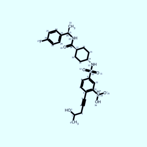 CC(O)CC#Cc1ccc(S(=O)(=O)N[C@H]2CC[C@H](C(=O)N[C@H](C)c3ccc(F)cc3)CC2)cc1[NH+]([O-])O